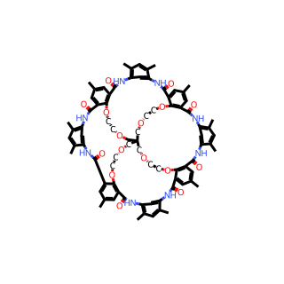 Cc1cc2c3c(c1)C(=O)Nc1cc(c(C)cc1C)NC(=O)c1cc(C)cc4c1OCCOCC1(COCCO3)COCCOc3c(cc(C)cc3C(=O)Nc3cc(c(C)cc3C)NC(=O)c3cc(C)cc(c3OCCOC1)C(=O)Nc1cc(c(C)cc1C)NC4=O)C(=O)Nc1cc(c(C)cc1C)NC2=O